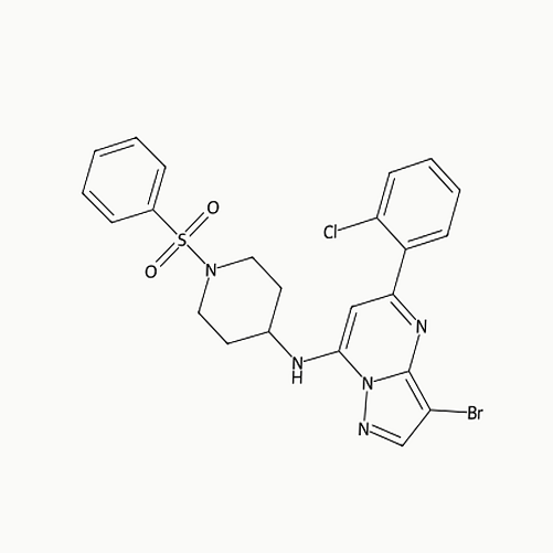 O=S(=O)(c1ccccc1)N1CCC(Nc2cc(-c3ccccc3Cl)nc3c(Br)cnn23)CC1